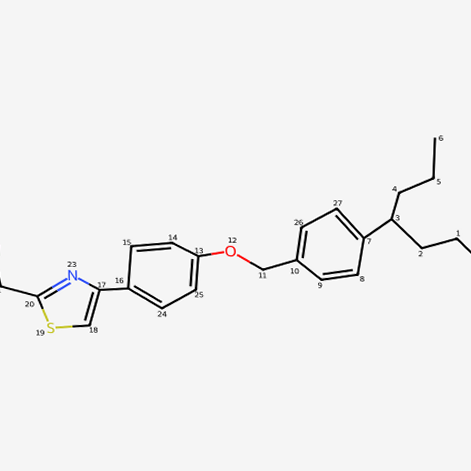 CCCC(CCC)c1ccc(COc2ccc(-c3csc(CCl)n3)cc2)cc1